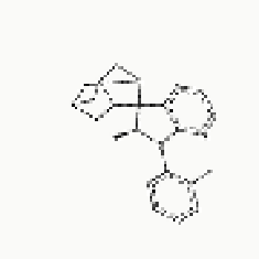 Cc1ccccc1N1c2ncccc2C2(C3CC4CC(C3)C2C4)[C@@H]1C